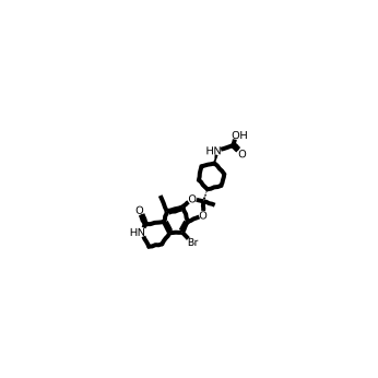 Cc1c2c(c(Br)c3c1C(=O)NCC3)OC(C)([C@H]1CC[C@H](NC(=O)O)CC1)O2